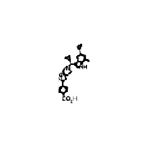 Cc1cc(C2CC2)cc2c(C(C3CC3)N3CCC4(CC3)CC(c3ccc(C(=O)O)cc3)=NO4)c[nH]c12